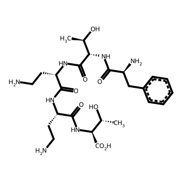 C[C@@H](O)[C@H](NC(=O)[C@H](CCN)NC(=O)[C@H](CCN)NC(=O)[C@@H](NC(=O)[C@@H](N)Cc1ccccc1)[C@@H](C)O)C(=O)O